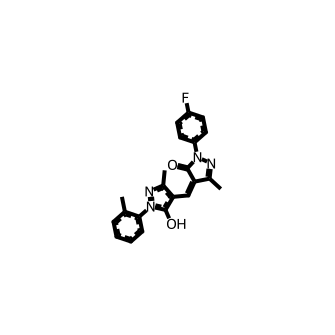 CC1=NN(c2ccc(F)cc2)C(=O)/C1=C\c1c(C)nn(-c2ccccc2C)c1O